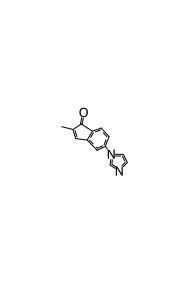 CC1=Cc2cc(-n3ccnc3)ccc2C1=O